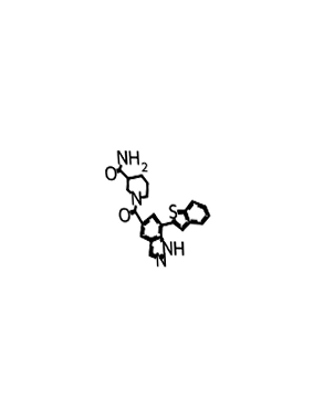 NC(=O)C1CCCN(C(=O)c2cc(-c3cc4ccccc4s3)c3[nH]ncc3c2)C1